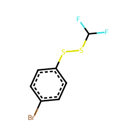 FC(F)SSc1ccc(Br)cc1